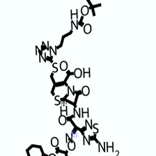 CC(O/N=C(/C(=O)NC1C(=O)N2C(C(=O)O)=C(CSc3nnnn3CCCNC(=O)OC(C)(C)C)CS[C@H]12)c1nsc(N)n1)C(=O)OC1CCCCC1